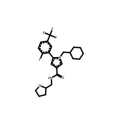 O=C(NCC1CCCO1)c1cc(-c2cc(C(F)(F)F)ccc2F)n(CC2CCCCC2)c1